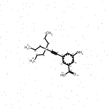 CCCS(C#Cc1cc(N)cc(C(=O)O)c1)(CCC)CCC